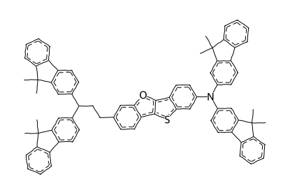 CC1(C)c2ccccc2-c2ccc(C(CCc3ccc4c(c3)oc3c5ccc(N(c6ccc7c(c6)C(C)(C)c6ccccc6-7)c6ccc7c(c6)C(C)(C)c6ccccc6-7)cc5sc43)c3ccc4c(c3)C(C)(C)c3ccccc3-4)cc21